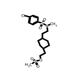 CN(CCC1CCC(CCOS(C)(=O)=O)CC1)S(=O)(=O)c1ccc(Cl)cc1